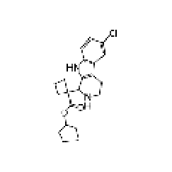 O=C(OC1CCCC1)C1(C2NCCc3c2[nH]c2ccc(Cl)cc32)CCC1